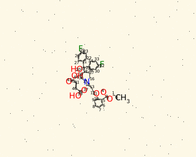 CCOC(=O)c1ccccc1OCCCN1CCC(C(O)(c2ccc(F)cc2)c2ccc(F)cc2)CC1.O=C(O)/C=C/C(=O)O